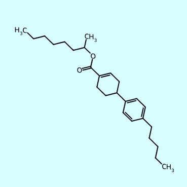 CCCCCCC(C)OC(=O)C1=CCC(c2ccc(CCCCC)cc2)CC1